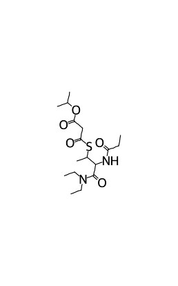 CCC(=O)NC(C(=O)N(CC)CC)C(C)SC(=O)CC(=O)OC(C)C